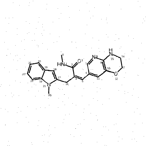 CNC(=O)C(=Cc1cnc2c(c1)OCCN2)Cc1cc2ccccc2n1C